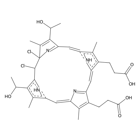 CC1=C(CCC(=O)O)C2=NC1=Cc1[nH]c(c(C(C)O)c1C)C(Cl)C1(Cl)N=C(C=c3[nH]c(c(CCC(=O)O)c3C)=C2)C(C(C)O)=C1C